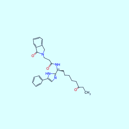 CCC(=O)CCCCC[C@H](NC(=O)CCN1Cc2ccccc2C1=O)c1ncc(-c2ccccc2)[nH]1